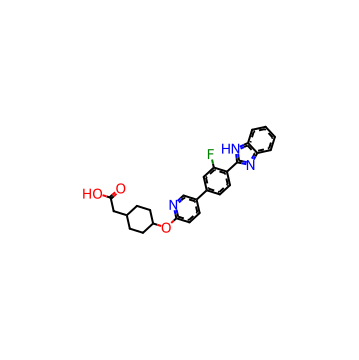 O=C(O)CC1CCC(Oc2ccc(-c3ccc(-c4nc5ccccc5[nH]4)c(F)c3)cn2)CC1